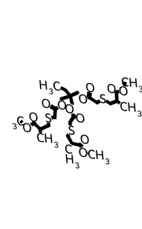 CCC(COC(=O)CSCC(C)C(=O)OC)(COC(=O)CSCC(C)C(=O)OC)COC(=O)CSCC(C)C(=O)OC